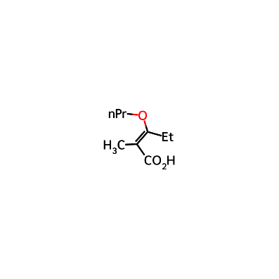 CCCOC(CC)=C(C)C(=O)O